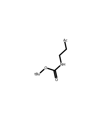 [CH2]C(=O)CCNC(=O)OC(C)(C)C